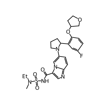 CCN(C)S(=O)(=O)NC(=O)c1cnc2ccc(N3CCCC3c3cc(F)ccc3OC3CCOC3)cn12